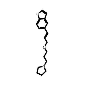 C(=Cc1ccc2occc2c1)COCCCN1CCCC1